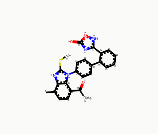 CCCSc1nc2c(C)ccc(C(=O)OC)c2n1-c1ccc(-c2ccccc2-c2nc(=O)o[nH]2)cc1